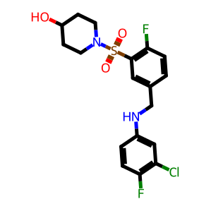 O=S(=O)(c1cc(CNc2ccc(F)c(Cl)c2)ccc1F)N1CCC(O)CC1